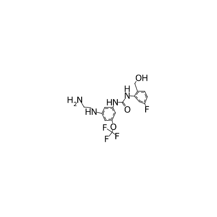 NCCNc1cc(NC(=O)Nc2cc(F)ccc2CO)cc(OC(F)(F)F)c1